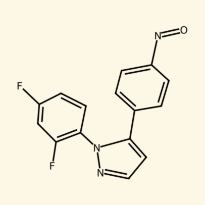 O=Nc1ccc(-c2ccnn2-c2ccc(F)cc2F)cc1